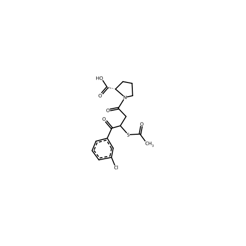 CC(=O)SC(CC(=O)N1CCC[C@H]1C(=O)O)C(=O)c1cccc(Cl)c1